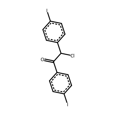 O=C(c1ccc(I)cc1)C(Cl)c1ccc(I)cc1